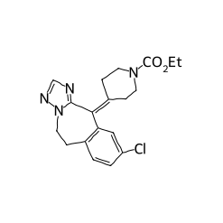 CCOC(=O)N1CCC(=C2c3cc(Cl)ccc3CCn3ncnc32)CC1